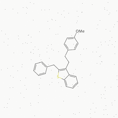 COc1ccc(CCc2c(Cc3ccccc3)sc3ccccc23)cc1